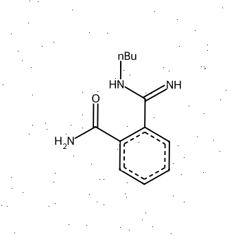 CCCCNC(=N)c1ccccc1C(N)=O